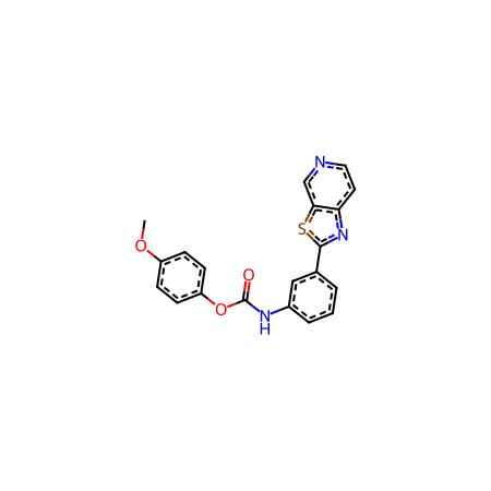 COc1ccc(OC(=O)Nc2cccc(-c3nc4ccncc4s3)c2)cc1